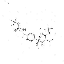 CC(C)[C@@H](NS(=O)(=O)c1ccc(CNC(=O)OC(C)(C)C)cc1)C(=O)OC(C)(C)C